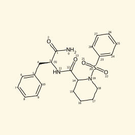 NC(=O)[C@H](Cc1ccccc1)NC(=O)C1CCCCN1S(=O)(=O)c1ccccc1